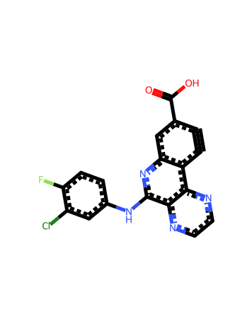 O=C(O)c1c#cc2c(c1)nc(Nc1ccc(F)c(Cl)c1)c1nccnc12